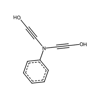 OC#CN(C#CO)c1ccccc1